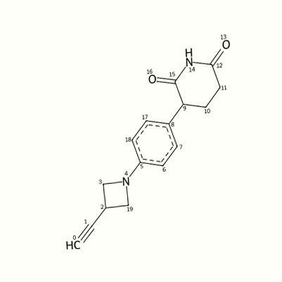 C#CC1CN(c2ccc(C3CCC(=O)NC3=O)cc2)C1